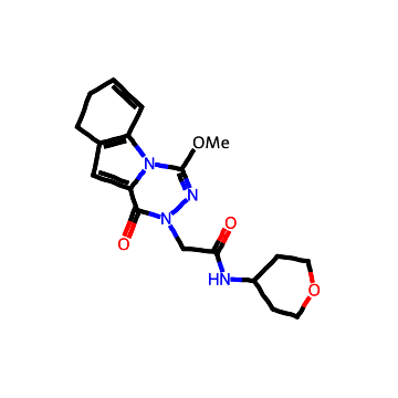 COc1nn(CC(=O)NC2CCOCC2)c(=O)c2cc3c(n12)C=CCC3